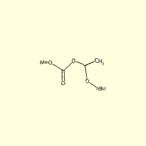 [CH2]OC(=O)OC(C)OCCCC